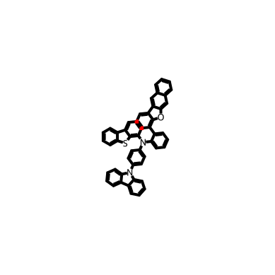 c1ccc(N(c2ccc(-n3c4ccccc4c4ccccc43)cc2)c2cccc3c2sc2ccccc23)c(-c2cccc3c2oc2cc4ccccc4cc23)c1